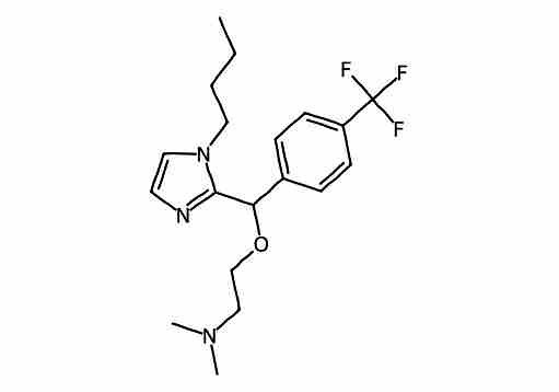 CCCCn1ccnc1C(OCCN(C)C)c1ccc(C(F)(F)F)cc1